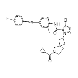 Cc1cc(C#Cc2ccc(F)cc2)cnc1NC(=O)c1c(Cl)cnn1C1CC2(CCN(C(=O)C3CC3)C2)C1